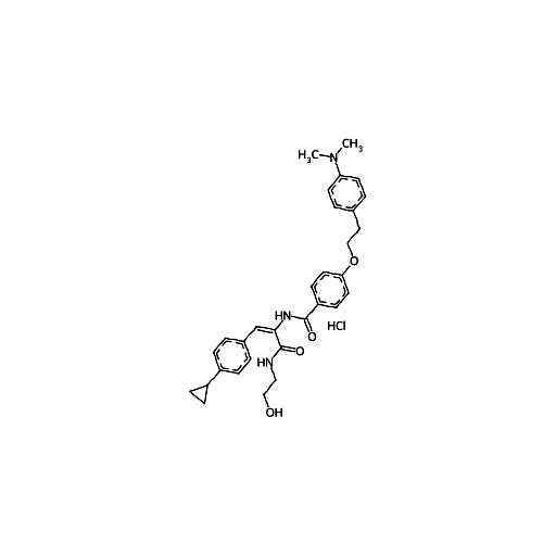 CN(C)c1ccc(CCOc2ccc(C(=O)N/C(=C/c3ccc(C4CC4)cc3)C(=O)NCCO)cc2)cc1.Cl